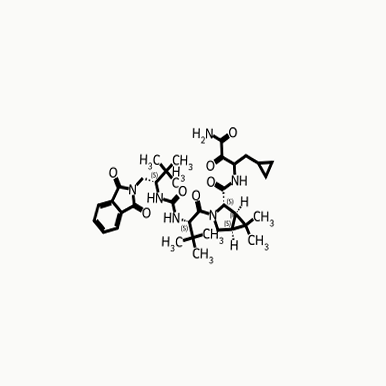 CC(C)(C)[C@H](NC(=O)N[C@H](CN1C(=O)c2ccccc2C1=O)C(C)(C)C)C(=O)N1C[C@H]2[C@@H]([C@H]1C(=O)NC(CC1CC1)C(=O)C(N)=O)C2(C)C